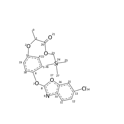 CC(Oc1ccc(Oc2nc3ccc(Cl)cc3o2)cc1)C(=O)OC[Si](C)(C)C